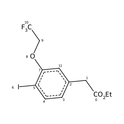 CCOC(=O)Cc1ccc(I)c(OCC(F)(F)F)c1